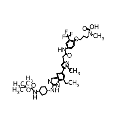 CCc1cc(-c2cc(CC(=O)Nc3ccc(OCCCN(C)C(=O)O)c(C(F)(F)F)c3)nn2C)cc2cnc(N[C@H]3CC[C@H](NC(=O)OC(C)(C)C)CC3)nc12